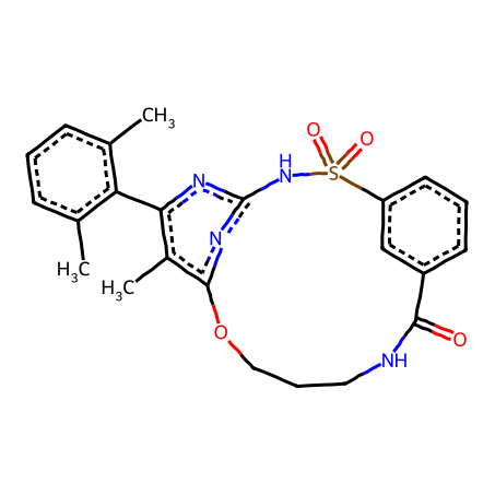 Cc1cccc(C)c1-c1nc2nc(c1C)OCCCNC(=O)c1cccc(c1)S(=O)(=O)N2